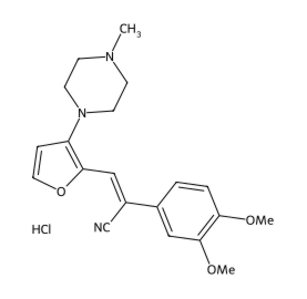 COc1ccc(C(C#N)=Cc2occc2N2CCN(C)CC2)cc1OC.Cl